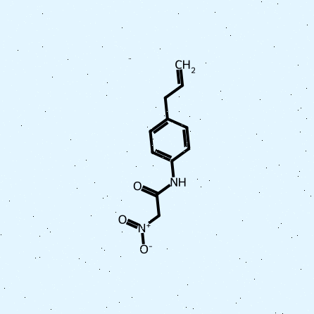 C=CCc1ccc(NC(=O)C[N+](=O)[O-])cc1